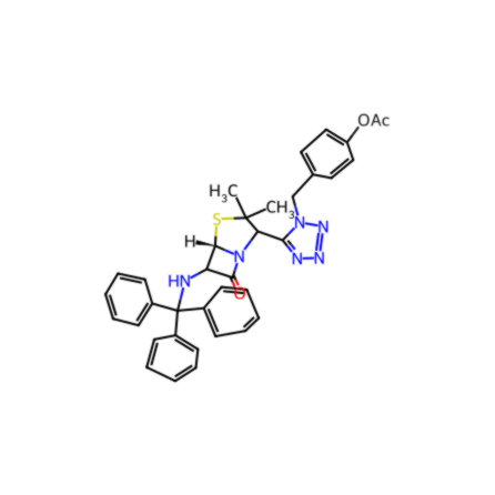 CC(=O)Oc1ccc(Cn2nnnc2C2N3C(=O)C(NC(c4ccccc4)(c4ccccc4)c4ccccc4)[C@@H]3SC2(C)C)cc1